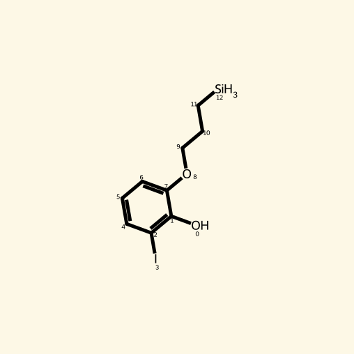 Oc1c(I)cccc1OCCC[SiH3]